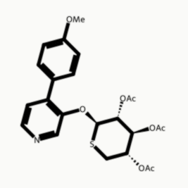 COc1ccc(-c2ccncc2O[C@@H]2SC[C@@H](OC(C)=O)[C@H](OC(C)=O)[C@H]2OC(C)=O)cc1